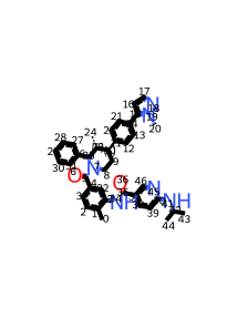 Cc1ccc(C(=O)N2CC[C@H](c3ccc(-c4ccnn4C)cc3)[C@@H](C)C2c2ccccc2)cc1NC(=O)c1ccc(NC(C)C)nc1